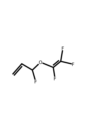 C=CC(F)OC(F)=C(F)F